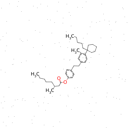 CCCCCC(C)CC(=O)Oc1ccc(CCc2ccc(C3(CCCCC)CCCCC3)c(C)c2)cc1